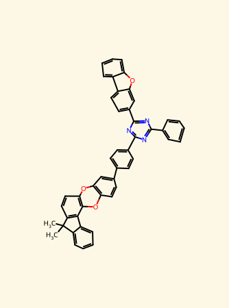 CC1(C)c2ccccc2-c2c1ccc1c2Oc2ccc(-c3ccc(-c4nc(-c5ccccc5)nc(-c5ccc6c(c5)oc5ccccc56)n4)cc3)cc2O1